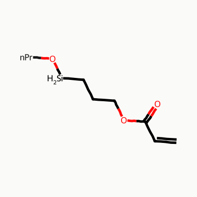 C=CC(=O)OCCC[SiH2]OCCC